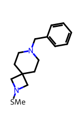 CSN1CC2(CCN(Cc3ccccc3)CC2)C1